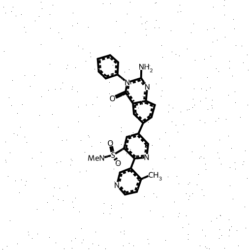 CNS(=O)(=O)c1cc(-c2ccc3nc(N)n(-c4ccccc4)c(=O)c3c2)cnc1-c1cnccc1C